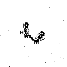 O=C(Cc1ccccn1)Nc1nnc(CCCCc2nnc(NC(=O)Cc3ccccn3)s2)s1